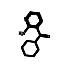 Nc1ncccc1C(=O)C1CCCCC1